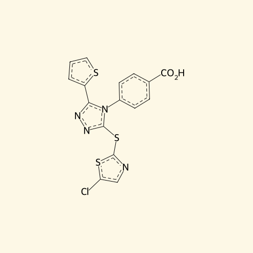 O=C(O)c1ccc(-n2c(Sc3ncc(Cl)s3)nnc2-c2cccs2)cc1